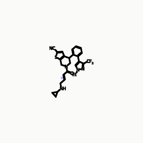 CCn1cc(-c2ccccc2C2CN(C(=O)/C=C/CNC3CC3)Cc3sc(C#N)cc32)c(C(F)(F)F)n1